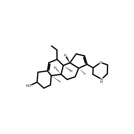 CCC1C=C2CC(O)CC[C@]2(C)[C@@H]2CC[C@]3(C)C(C4CNCCO4)=CC[C@H]3[C@H]12